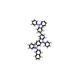 c1ccc(-n2c3ccccc3c3cc(-c4ccc5c(c4)c4cc6c7ccccc7n(-c7ccc8ccccc8c7)c6cc4n5-c4ccccc4)ccc32)cc1